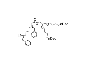 CCCCCCCCCCCCCCOCC(COC(=O)CN(CCCCN(CC)Cc1ccccc1)Cc1ccccc1)OCCCCCCCCCCCCCC